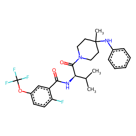 CC(C)[C@@H](NC(=O)c1cc(OC(F)(F)F)ccc1F)C(=O)N1CCC(C)(Nc2ccccc2)CC1